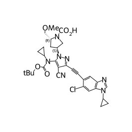 COC[C@H]1C[C@H](n2nc(C#Cc3cc4ncn(C5CC5)c4cc3Cl)c(C#N)c2N(C(=O)OC(C)(C)C)C2CC2)CN1C(=O)O